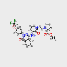 COC(=O)[C@@H]1CCCN1CCn1cccc(Nc2nn(-c3ccc(OC(F)(F)F)cc3)c(=O)c3ccccc23)c1=O